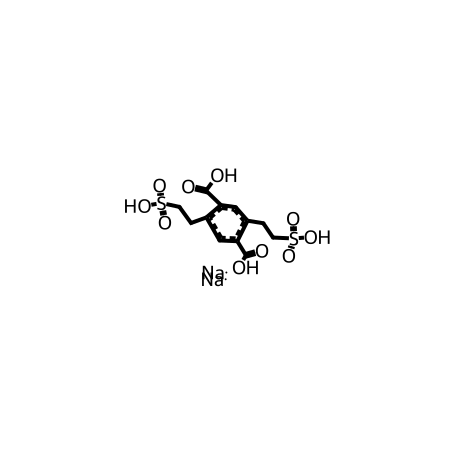 O=C(O)c1cc(CCS(=O)(=O)O)c(C(=O)O)cc1CCS(=O)(=O)O.[Na].[Na]